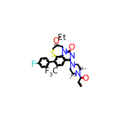 C=CC(=O)N1[C@H](C)CN(c2nc(=O)n3c4c(c(-c5ccc(F)cc5)c(C(F)(F)F)cc24)SC[C@H](OCC)C3)C[C@@H]1C